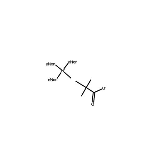 CC(C)(C)C(=O)[O-].CCCCCCCCC[N+](C)(CCCCCCCCC)CCCCCCCCC